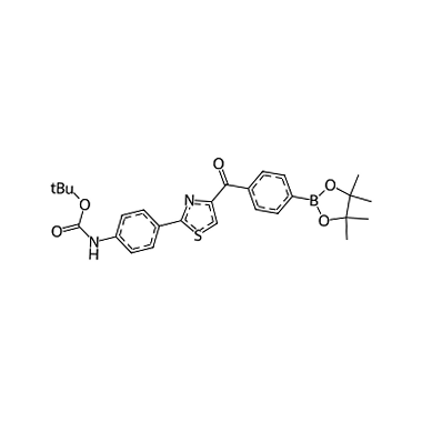 CC(C)(C)OC(=O)Nc1ccc(-c2nc(C(=O)c3ccc(B4OC(C)(C)C(C)(C)O4)cc3)cs2)cc1